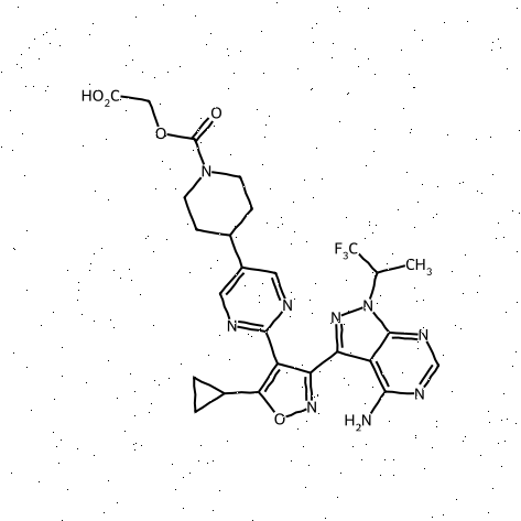 CC(n1nc(-c2noc(C3CC3)c2-c2ncc(C3CCN(C(=O)OCC(=O)O)CC3)cn2)c2c(N)ncnc21)C(F)(F)F